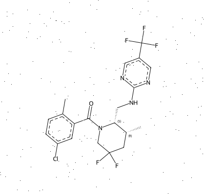 Cc1ccc(Cl)cc1C(=O)N1CC(F)(F)C[C@@H](C)[C@H]1CNc1ncc(C(F)(F)F)cn1